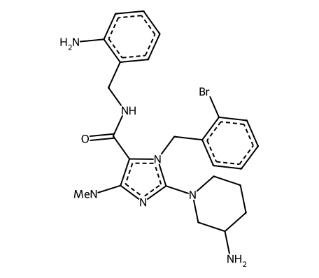 CNc1nc(N2CCCC(N)C2)n(Cc2ccccc2Br)c1C(=O)NCc1ccccc1N